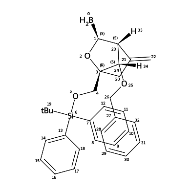 B[C@@H]1O[C@@]2(CO[Si](c3ccccc3)(c3ccccc3)C(C)(C)C)CC(=C)[C@@H]1[C@@H]2OCc1ccccc1